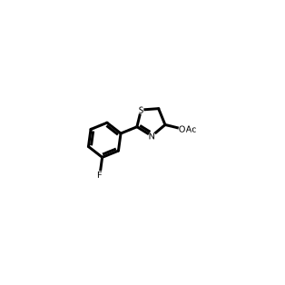 CC(=O)OC1CSC(c2cccc(F)c2)=N1